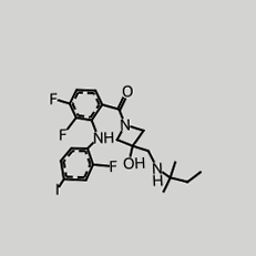 CCC(C)(C)NCC1(O)CN(C(=O)c2ccc(F)c(F)c2Nc2ccc(I)cc2F)C1